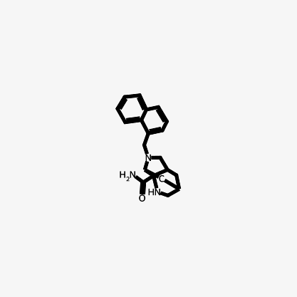 NC(=O)C12NCC3CC1CN(Cc1cccc4ccccc14)C2C3